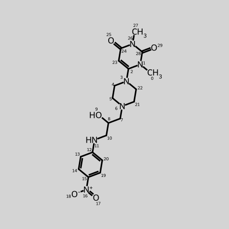 Cn1c(N2CCN(CC(O)CNc3ccc([N+](=O)[O-])cc3)CC2)cc(=O)n(C)c1=O